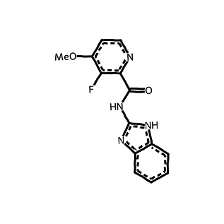 COc1ccnc(C(=O)Nc2nc3ccccc3[nH]2)c1F